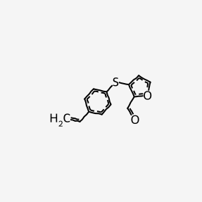 C=Cc1ccc(Sc2ccoc2C=O)cc1